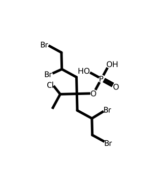 CC(Cl)C(CC(Br)CBr)(CC(Br)CBr)OP(=O)(O)O